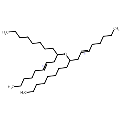 CCCCC/C=C/CC(CCCCCCCC)OC(C/C=C/CCCCC)CCCCCCCC